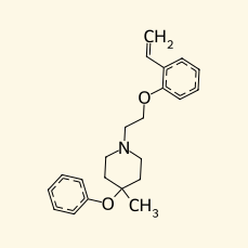 C=Cc1ccccc1OCCN1CCC(C)(Oc2ccccc2)CC1